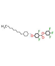 CCCCCCCCC[C@H]1CC[C@H](COc2cc(F)c(C(=O)Oc3cc(F)c(F)c(F)c3)c(F)c2)CC1